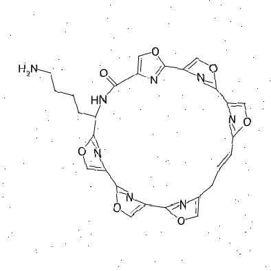 NCCCCC1NC(=O)c2coc(n2)-c2coc(n2)-c2coc(n2)/C=C/Cc2coc(n2)-c2coc(n2)-c2coc1n2